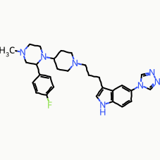 CN1CCN(C2CCN(CCCc3c[nH]c4ccc(-n5cnnc5)cc34)CC2)C(c2ccc(F)cc2)C1